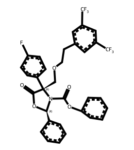 O=C(Oc1ccccc1)N1[C@@H](c2ccccc2)OC(=O)[C@]1(COCCc1cc(C(F)(F)F)cc(C(F)(F)F)c1)c1ccc(F)cc1